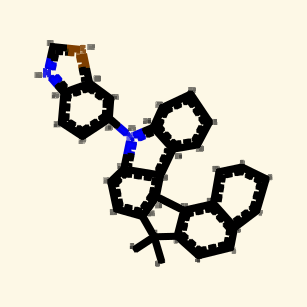 CC1(C)c2ccc3ccccc3c2-c2c1ccc1c2c2ccccc2n1-c1ccc2ncsc2c1